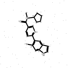 CN(C(=O)c1ccc(-c2cc3cc[nH]c3cc2F)nc1)C1CCCC1